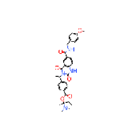 CCC(C)(OC(=O)c1ccc(C(C)n2c(=O)[nH]c3ccc(C(=O)NCc4ccc(OC)cc4)cc3c2=O)cc1)N(C)C